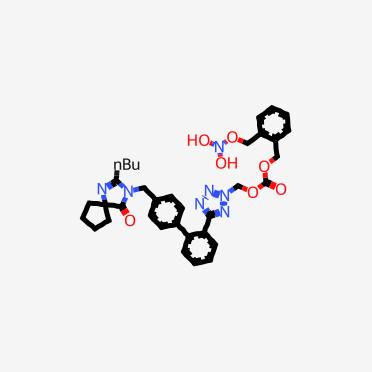 CCCCC1=NC2(CCCC2)C(=O)N1Cc1ccc(-c2ccccc2-c2nnn(COC(=O)OCc3ccccc3CON(O)O)n2)cc1